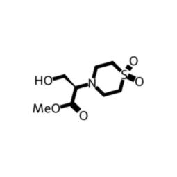 COC(=O)[C@@H](CO)N1CCS(=O)(=O)CC1